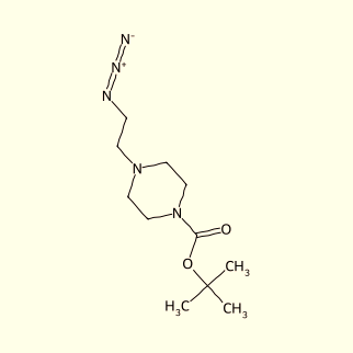 CC(C)(C)OC(=O)N1CCN(CCN=[N+]=[N-])CC1